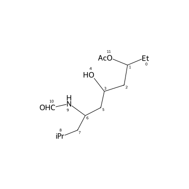 CCC(CC(O)CC(CC(C)C)NC=O)OC(C)=O